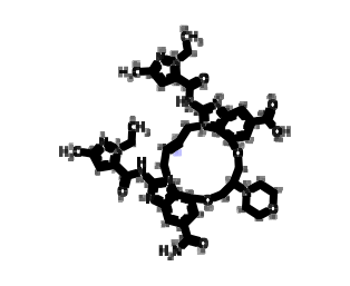 CCn1nc(C)cc1C(=O)Nc1nc2cc(C(N)=O)cc3c2n1C/C=C/Cn1c(NC(=O)c2cc(C)nn2CC)nc2cc(C(=O)O)cc(c21)OCC(N1CCOCC1)CO3